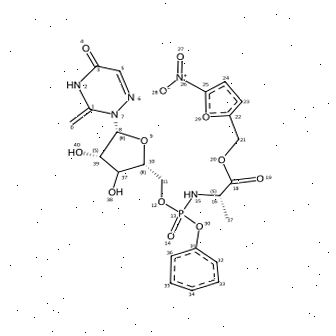 C=C1NC(=O)C=NN1[C@@H]1O[C@H](COP(=O)(N[C@@H](C)C(=O)OCc2ccc([N+](=O)[O-])o2)Oc2ccccc2)C(O)[C@@H]1O